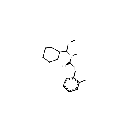 CSC(C1CCCCC1)N(C)C(=O)Nc1ccccc1F